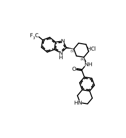 Cl.O=C(N[C@@H]1CCC[C@H](c2nc3cc(C(F)(F)F)ccc3[nH]2)C1)c1ccc2c(c1)CNCC2